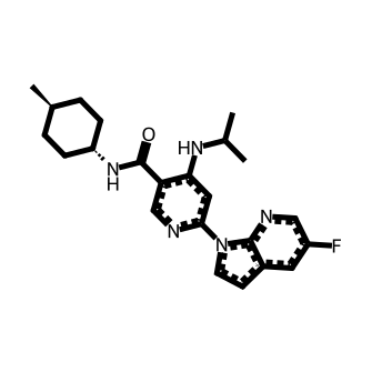 CC(C)Nc1cc(-n2ccc3cc(F)cnc32)ncc1C(=O)N[C@H]1CC[C@H](C)CC1